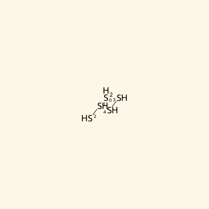 S.SS.SS